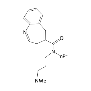 CCCN(CCCNC)C(=O)C1=Cc2ccccc2N=CC1